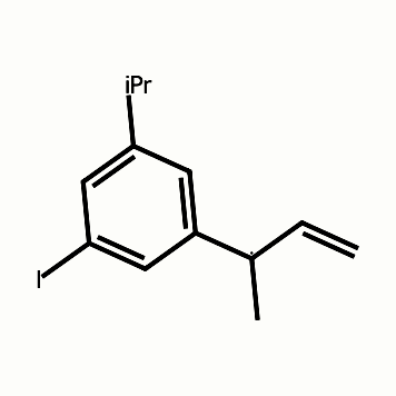 C=C[C](C)c1cc(I)cc(C(C)C)c1